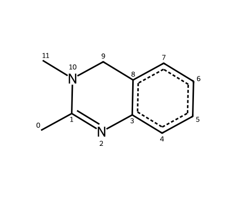 CC1=Nc2ccccc2CN1C